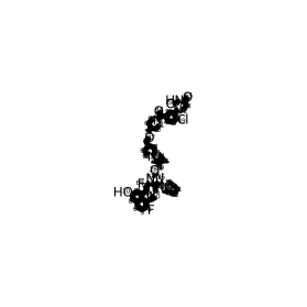 C#Cc1c(F)ccc2cc(O)cc(-c3ncc4c(N5CC6CCC(C5)N6)nc(OCC5(CN6CCC(COCC7CCN(C(=O)c8ccc(Cl)c(N9CCC(=O)NC9=O)c8)CC7)CC6)CC5)nc4c3F)c12